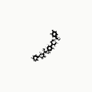 Cc1ccc(C(=O)N2CCC(c3ccc(NC(=O)[C@H]4CCN(c5cccnn5)C4)cc3)CC2)cc1